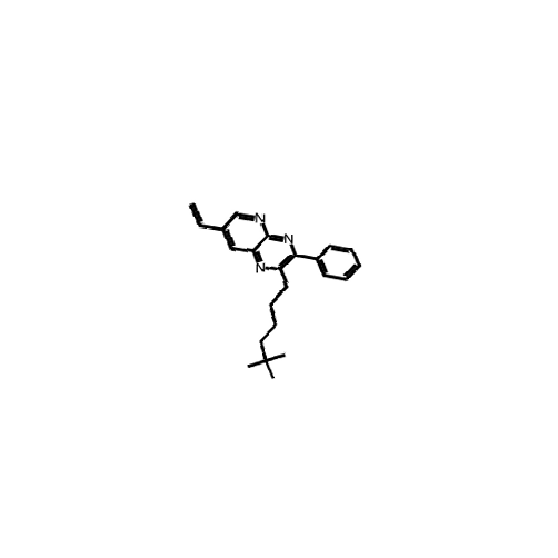 C=Cc1cnc2nc(-c3ccccc3)c(CCCCC(C)(C)C)nc2c1